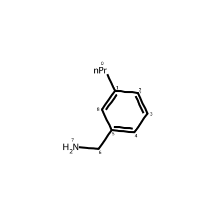 CCCc1[c]ccc(CN)c1